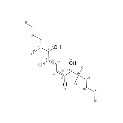 CCCCC(F)C(O)/C(Cl)=[C]/C=C(/Cl)C(O)C(C)(C)CCCC